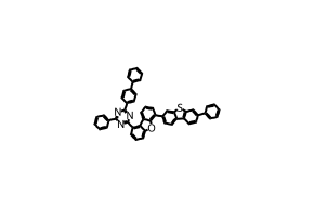 c1ccc(-c2ccc(-c3nc(-c4ccccc4)nc(-c4cccc5oc6c(-c7ccc8c(c7)sc7cc(-c9ccccc9)ccc78)cccc6c45)n3)cc2)cc1